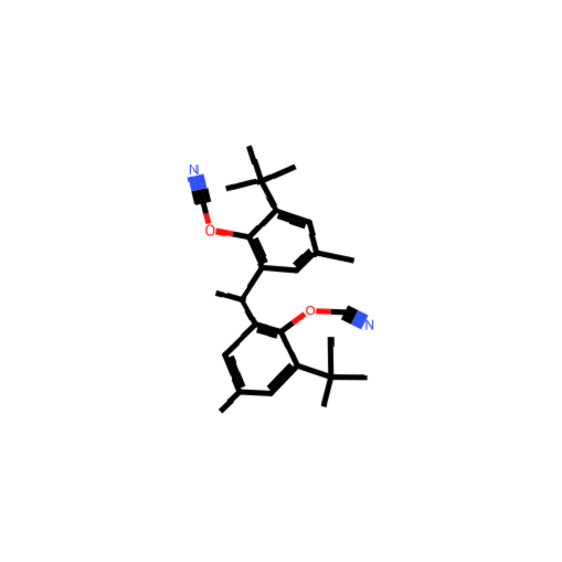 Cc1cc(C(C)c2cc(C)cc(C(C)(C)C)c2OC#N)c(OC#N)c(C(C)(C)C)c1